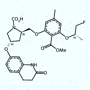 COC(=O)c1c(OC[C@H]2C[C@H](Oc3ccc4c(c3)NC(=O)CC4)CN2C(=O)O)cc(C)cc1O[C@@H](C)CF